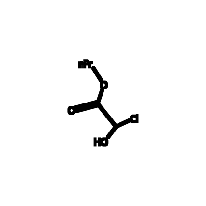 [CH2]CCOC(=O)C(O)Cl